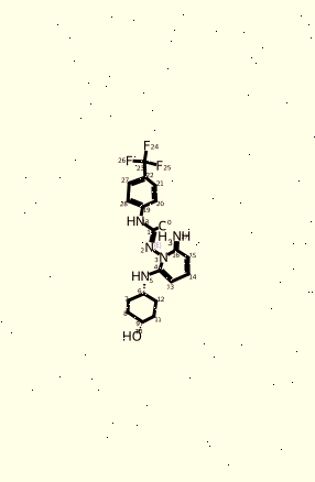 C/C(=N\n1c(N[C@H]2CC[C@@H](O)CC2)cccc1=N)Nc1ccc(C(F)(F)F)cc1